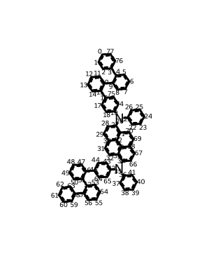 c1ccc(-c2ccccc2-c2ccccc2-c2ccc(N(c3ccccc3)c3ccc4ccc5c(N(c6ccccc6)c6ccc(-c7ccccc7-c7ccccc7-c7ccccc7)cc6)ccc6ccc3c4c65)cc2)cc1